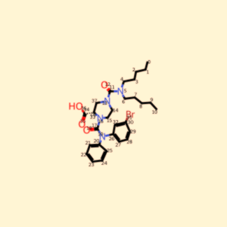 CCCCCN(CCCCC)C(=O)N1CCN(C(=O)N(c2ccccc2)c2cccc(Br)c2)[C@H](C(=O)O)C1